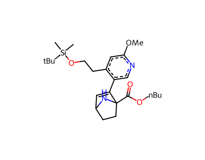 CCCCOC(=O)C12CCC(C=C1c1cnc(OC)cc1CCO[Si](C)(C)C(C)(C)C)N2